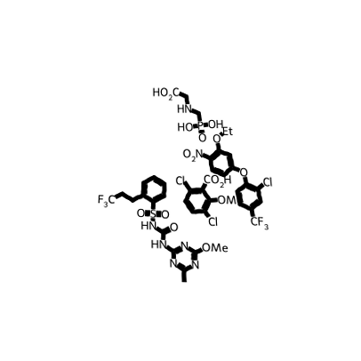 CCOc1cc(Oc2ccc(C(F)(F)F)cc2Cl)ccc1[N+](=O)[O-].COc1c(Cl)ccc(Cl)c1C(=O)O.COc1nc(C)nc(NC(=O)NS(=O)(=O)c2ccccc2CCC(F)(F)F)n1.O=C(O)CNCP(=O)(O)O